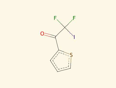 O=C(c1cccs1)C(F)(F)I